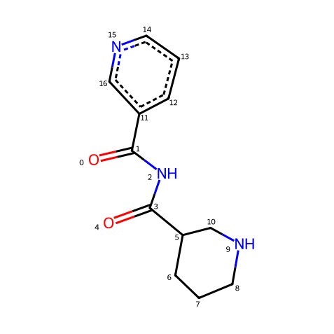 O=C(NC(=O)C1CCCNC1)c1cccnc1